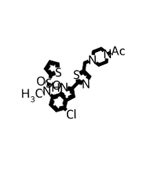 CC(=O)N1CCN(Cc2cnc(-c3cc4c(Cl)ccc(N(C)S(=O)(=O)c5cccs5)c4[nH]3)s2)CC1